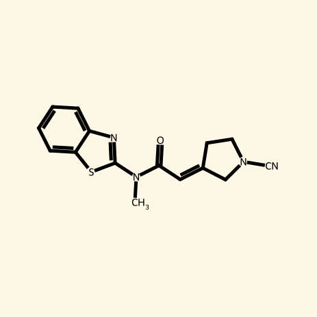 CN(C(=O)C=C1CCN(C#N)C1)c1nc2ccccc2s1